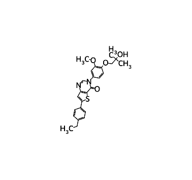 CCc1ccc(-c2cc3ncn(-c4ccc(OCC(C)(C)O)c(OC)c4)c(=O)c3s2)cc1